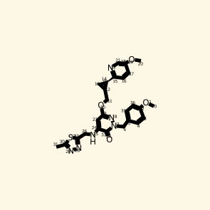 COc1ccc(Cn2nc(OCC3C[C@H]3c3ccc(OC)cn3)cc(NCc3nnc(C)s3)c2=O)cc1